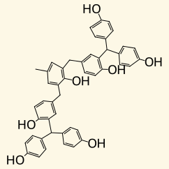 Cc1cc(Cc2ccc(O)c(C(c3ccc(O)cc3)c3ccc(O)cc3)c2)c(O)c(Cc2ccc(O)c(C(c3ccc(O)cc3)c3ccc(O)cc3)c2)c1